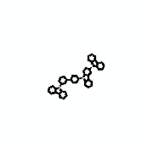 c1cc(-c2ccc(-n3c4ccccc4c4cc(-n5c6ccccc6c6ccccc65)ccc43)cc2)cc(-n2c3ccccc3c3ccccc32)c1